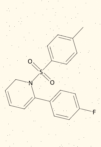 Cc1ccc(S(=O)(=O)N2CC=CC=C2c2ccc(F)cc2)cc1